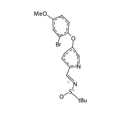 COc1ccc(Oc2ccc(/C=N/[S+]([O-])C(C)(C)C)nc2)c(Br)c1